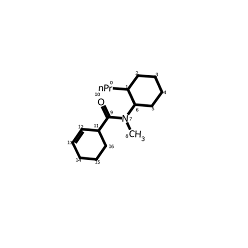 CCCC1CCCCC1N(C)C(=O)C1C=[C]CCC1